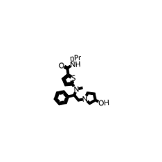 CCCNC(=O)c1ccc(N(C)C(CN2CCC(O)C2)c2ccccc2)s1